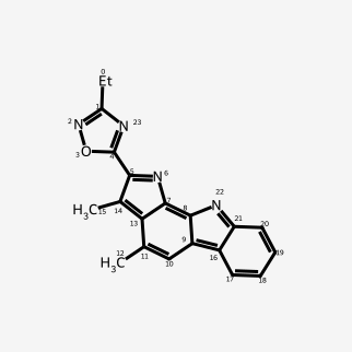 CCc1noc(C2=Nc3c4c(cc(C)c3=C2C)=c2ccccc2=N4)n1